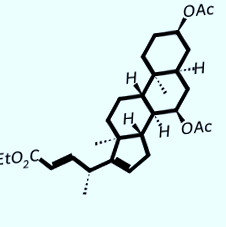 CCOC(=O)/C=C/[C@@H](C)C1=CC[C@H]2[C@@H]3[C@H](OC(C)=O)C[C@@H]4C[C@H](OC(C)=O)CC[C@]4(C)[C@H]3CC[C@]12C